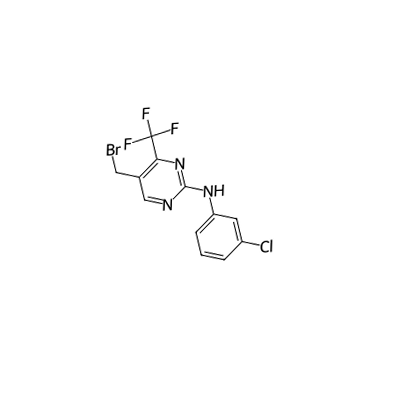 FC(F)(F)c1nc(Nc2cccc(Cl)c2)ncc1CBr